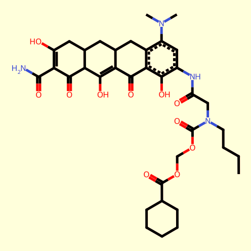 CCCCN(CC(=O)Nc1cc(N(C)C)c2c(c1O)C(=O)C1=C(O)C3C(=O)C(C(N)=O)=C(O)CC3CC1C2)C(=O)OCOC(=O)C1CCCCC1